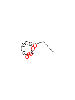 CCCCCCCC/C=C\CCCCCCC1CCCCCCCCCCCC(=O)OOCCOC1=O